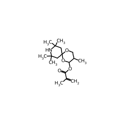 C=C(C)C(=O)OC1OC2(CC(C)(C)NC(C)(C)C2)OCC1C